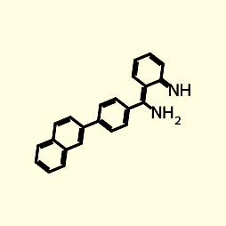 N=C1C=CC=C/C1=C(/N)c1ccc(-c2ccc3ccccc3c2)cc1